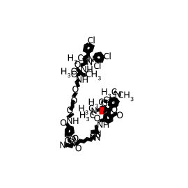 CCC(CC)(NC(=O)c1nn(-c2ccc(Cl)cc2Cl)c(-c2ccc(Cl)cc2)c1C)C(=O)NCCOCCOCCOCCNC(=O)c1ccc(S(=O)(=O)N(CC#N)C(=O)CCCCn2cc(CNC(=O)c3ccc4c(c3)C3(OC4=O)c4ccc(N(C)C)cc4[Si](C)(C)c4cc(N(C)C)ccc43)nn2)cc1